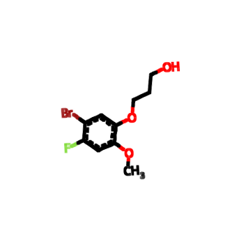 COc1cc(F)c(Br)cc1OCCCO